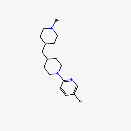 CC(=O)c1ccc(N2CCC(CC3CCN(C(C)C)CC3)CC2)nc1